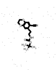 CC(C)(C)OC(=O)NCCc1cc2c(cc1C#N)OCCO2